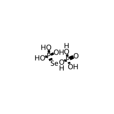 O=P(O)(O)O.OP(O)(O)=[Se]